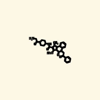 COc1c(C(=O)NC2CCN(C(=O)CN)CC2)n(C)c2c1c(=O)n(CC(=O)c1ccccc1)c1ccccc21